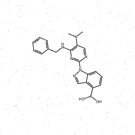 CN(C)c1cnc(-n2ncc3c(B(O)O)cccc32)nc1NCc1ccccc1